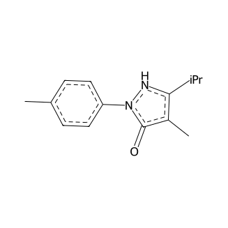 Cc1ccc(-n2[nH]c(C(C)C)c(C)c2=O)cc1